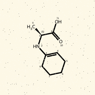 C[C@H](NC1=CCCCC1)C(=O)O